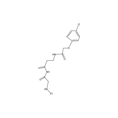 C=C(CCNC(=O)COc1ccc(Cl)cc1)NC(=O)CNCC